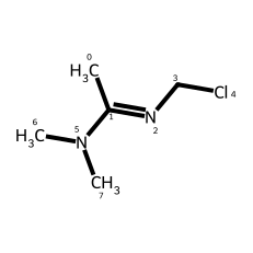 C/C(=N\CCl)N(C)C